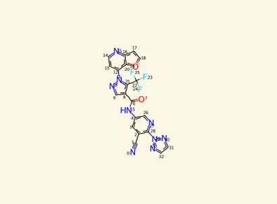 N#Cc1cc(NC(=O)c2cnn(-c3ccnc4ccoc34)c2C(F)(F)F)cnc1-n1nccn1